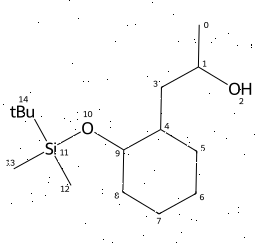 CC(O)CC1CCCCC1O[Si](C)(C)C(C)(C)C